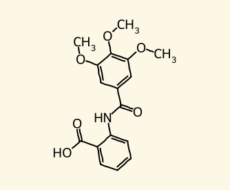 COc1cc(C(=O)Nc2ccccc2C(=O)O)cc(OC)c1OC